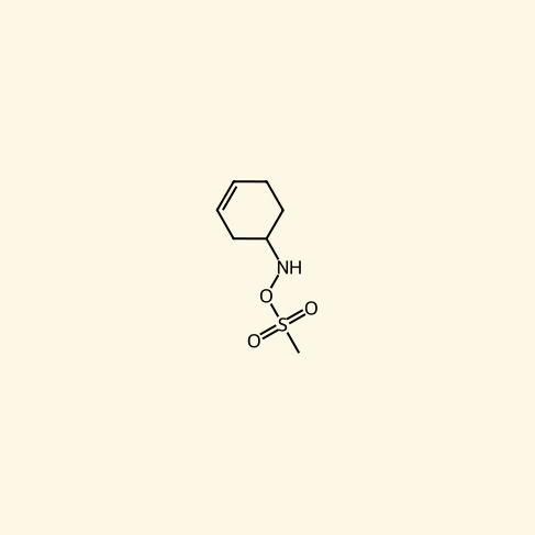 CS(=O)(=O)ONC1CC=CCC1